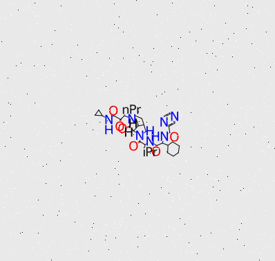 CCC[C@@H](C(=O)C(=O)NC1CC1)N1CCC2CN(C(=O)[C@@H](NC(=O)[C@@H](NC(=O)c3cnccn3)C3CCCCC3)C(C)C)[C@H](C1=O)[C@H]2C